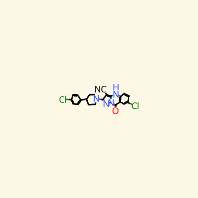 N#Cc1c(N2CCC(c3ccc(Cl)cc3)CC2)nn2c(=O)c3cc(Cl)ccc3[nH]c12